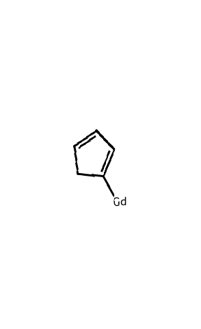 [Gd][C]1=CC=CC1